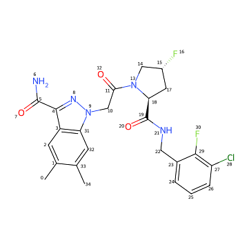 Cc1cc2c(C(N)=O)nn(CC(=O)N3C[C@H](F)C[C@H]3C(=O)NCc3cccc(Cl)c3F)c2cc1C